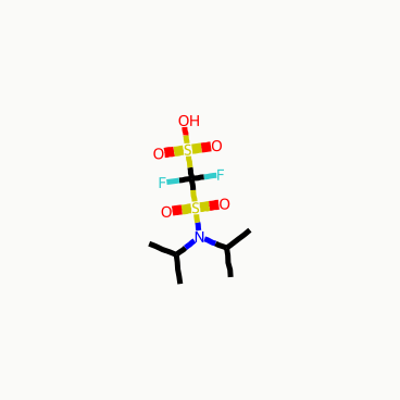 CC(C)N(C(C)C)S(=O)(=O)C(F)(F)S(=O)(=O)O